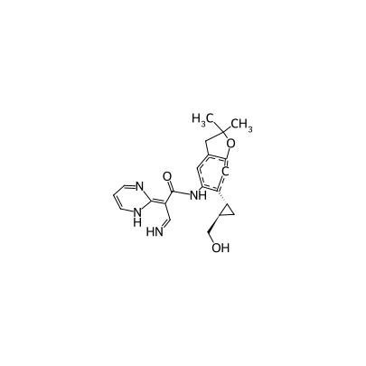 CC1(C)Cc2cc(NC(=O)/C(C=N)=C3\N=CC=CN3)c([C@@H]3C[C@H]3CO)cc2O1